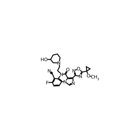 COC1(c2nc(-c3ncn4c3c(=O)n(CCN3CCCC(O)C3)c3c(C#N)c(F)ccc34)no2)CC1